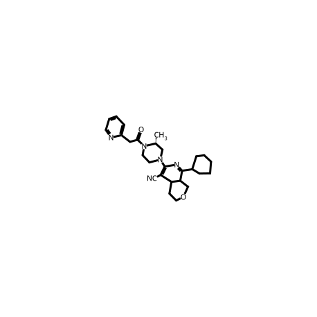 C[C@@H]1CN(C2=C(C#N)C3CCOCC3C(C3CCCCC3)=N2)CCN1C(=O)Cc1ccccn1